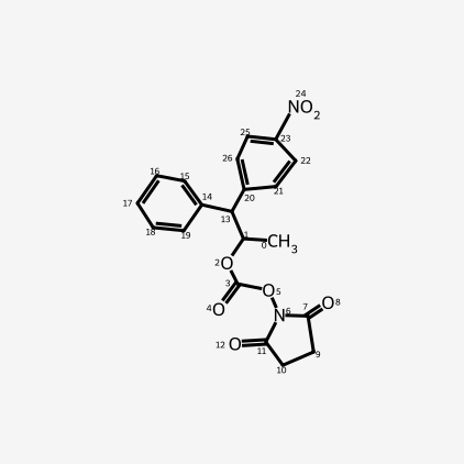 CC(OC(=O)ON1C(=O)CCC1=O)C(c1ccccc1)c1ccc([N+](=O)[O-])cc1